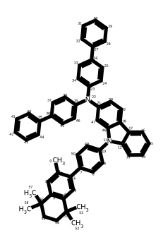 Cc1cc2c(cc1-c1ccc(-n3c4ccccc4c4ccc(N(c5ccc(-c6ccccc6)cc5)c5ccc(-c6ccccc6)cc5)cc43)cc1)C(C)(C)CCC2(C)C